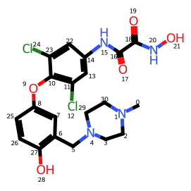 CN1CCN(Cc2cc(Oc3c(Cl)cc(NC(=O)C(=O)NO)cc3Cl)ccc2O)CC1